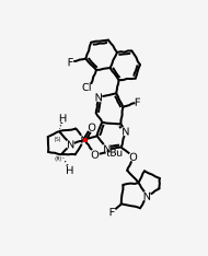 CC(C)(C)OC(=O)N1[C@@H]2CC[C@H]1CN(c1nc(OCC34CCCN3CC(F)C4)nc3c(F)c(-c4cccc5ccc(F)c(Cl)c45)ncc13)C2